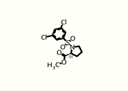 COC(=O)[C@@H]1CCCN1S(=O)(=O)c1cc(Cl)cc(Cl)c1